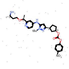 C[C@H](N)CCO[C@@H](C)c1cc(Nc2cc([C@H]3CC[C@@H](OC(=O)Oc4ccc([N+](=O)[O-])cc4)C3)nn2C(C)(C)C)ccn1